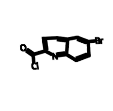 O=C(Cl)c1ccc2cc(Br)ccc2n1